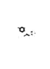 CC(C)(C)/C(=C/n1cncn1)Oc1ccc(Cl)cc1Cl